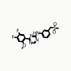 COc1cc(F)c(F)cc1-c1ncnc(Nc2cccc(CS(C)(=O)=O)c2)n1